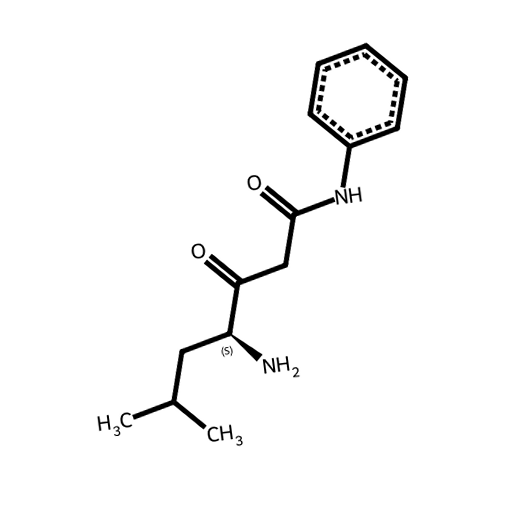 CC(C)C[C@H](N)C(=O)CC(=O)Nc1ccccc1